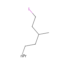 CCCCCC(C)CCI